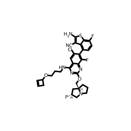 N#Cc1c(N)sc2c(F)ccc(-c3c(Cl)cc4c(NCCCOC5C=CC5)nc(OC[C@@]56CCCN5C[C@H](F)C6)nc4c3F)c12